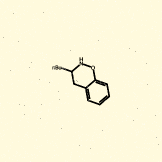 CCCCC1Cc2ccccc2ON1